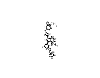 CN1CCN(CC2CC(n3cc(-c4cccc(OCC5CCCO5)c4)c4c(N)ncnc43)C2)CC1=O